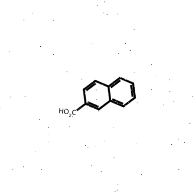 O=C(O)c1[c]c2ccccc2cc1